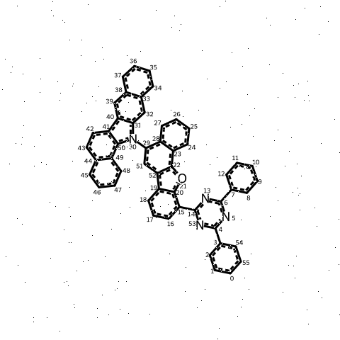 c1ccc(-c2nc(-c3ccccc3)nc(-c3cccc4c3oc3c5ccccc5c(-n5c6cc7ccccc7cc6c6ccc7ccccc7c65)cc43)n2)cc1